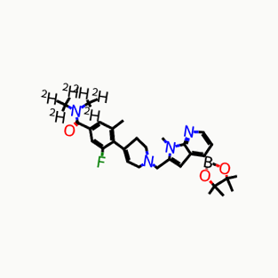 [2H]C([2H])([2H])N(C(=O)c1cc(C)c(C2=CCN(Cc3cc4c(B5OC(C)(C)C(C)(C)O5)ccnc4n3C)CC2)c(F)c1)C([2H])([2H])[2H]